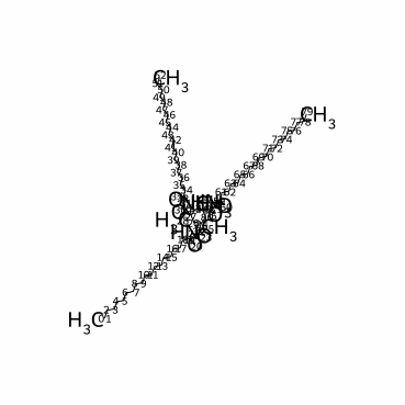 CCCCCCCCCCC=CCCCCCCCC(=O)NC(=O)C1(C)CC(C)(C(=O)NC(=O)CCCCCCCC=CCCCCCCCCCC)CC(C)(C(=O)NC(=O)CCCCCCCC=CCCCCCCCCCC)C1